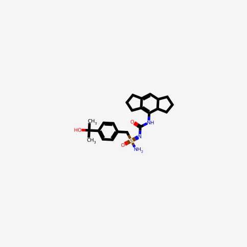 CC(C)(O)c1ccc(CS(N)(=O)=NC(=O)NC2=C3CCCC3=CC3CCCC23)cc1